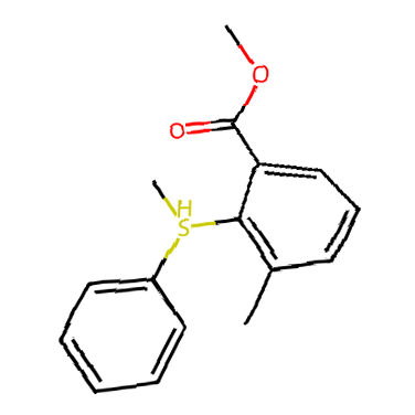 COC(=O)c1cccc(C)c1[SH](C)c1ccccc1